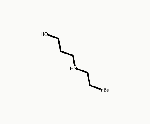 [CH2]CCCCCNCCCO